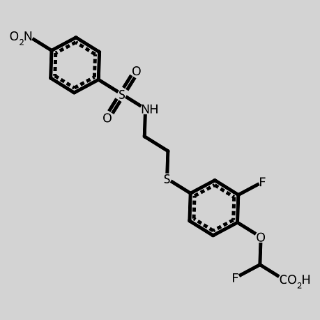 O=C(O)C(F)Oc1ccc(SCCNS(=O)(=O)c2ccc([N+](=O)[O-])cc2)cc1F